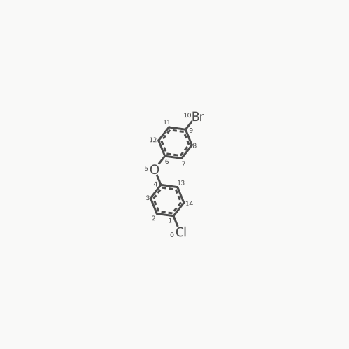 Clc1ccc(Oc2ccc(Br)cc2)cc1